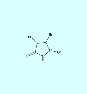 O=C1N[S+]([O-])C(Br)C1Br